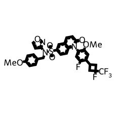 COc1ccc(CN(c2ccon2)S(=O)(=O)c2ccc3c(ccc(=O)n3-c3cc(F)c(C4CC(F)(C(F)(F)F)C4)cc3OC)c2)cc1